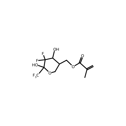 C=C(C)C(=O)OCC1COC(O)(C(F)(F)F)C(F)(F)C1O